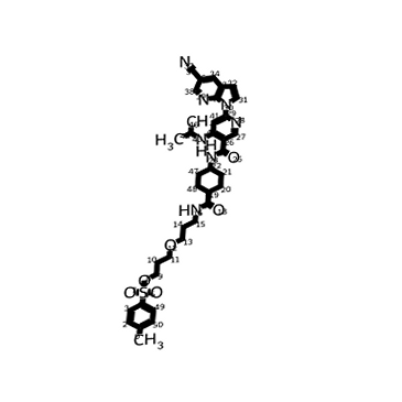 Cc1ccc(S(=O)(=O)OCCCOCCCNC(=O)C2CCC(NC(=O)c3cnc(-n4ccc5cc(C#N)cnc54)cc3NC(C)C)CC2)cc1